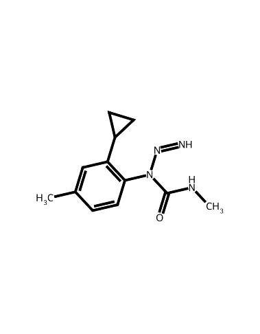 CNC(=O)N(N=N)c1ccc(C)cc1C1CC1